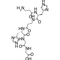 NCCC(=O)N[C@@H](Cc1c[nH]cn1)C(=O)NCCC(=O)N[C@@H](Cc1c[nH]cn1)C(=O)NCC(=O)NCC(=O)O